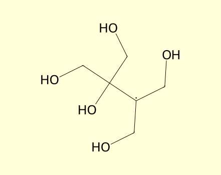 OC[C](CO)C(O)(CO)CO